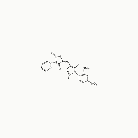 COc1cc([N+](=O)[O-])ccc1-n1c(C)cc(C=C2SC(=O)N(c3ccccc3)C2=O)c1C